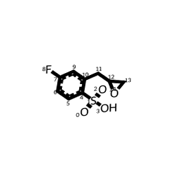 O=S(=O)(O)c1ccc(F)cc1CC1CO1